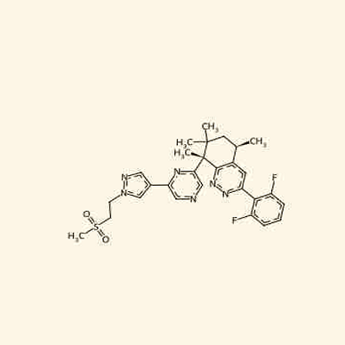 C[C@@H]1CC(C)(C)[C@@](C)(c2cncc(-c3cnn(CCS(C)(=O)=O)c3)n2)c2nnc(-c3c(F)cccc3F)cc21